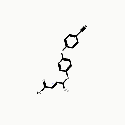 CC(/C=C/C(=O)O)Oc1ccc(Oc2ccc(C#N)cc2)cc1